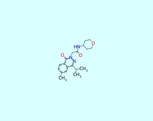 Cc1ccc2c(=O)n(CC(=O)NC3CCOCC3)nc(C(C)C)c2c1